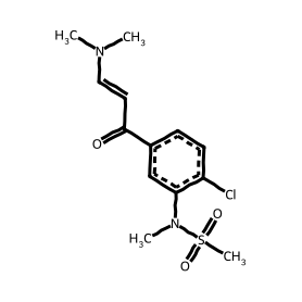 CN(C)C=CC(=O)c1ccc(Cl)c(N(C)S(C)(=O)=O)c1